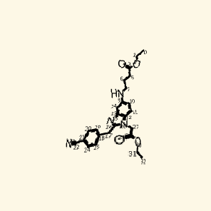 CCOC(=O)CCCNc1ccc2c(c1)nc(Cc1ccc(C#N)cc1)n2CC(=O)OCC